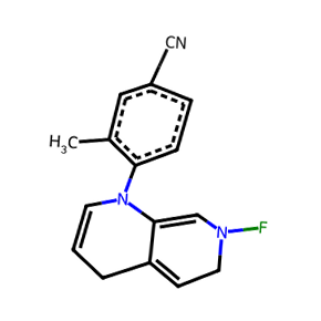 Cc1cc(C#N)ccc1N1C=CCC2=CCN(F)C=C21